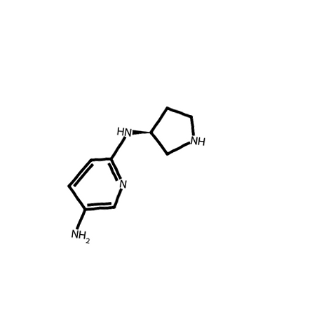 Nc1ccc(N[C@H]2CCNC2)nc1